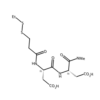 CCSSCCC(=O)N[C@@H](CC(=O)O)C(=O)N[C@@H](CC(=O)O)C(=O)NC